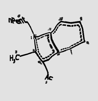 CCCCCn1c(C)c(C(C)=O)c2ccccc21